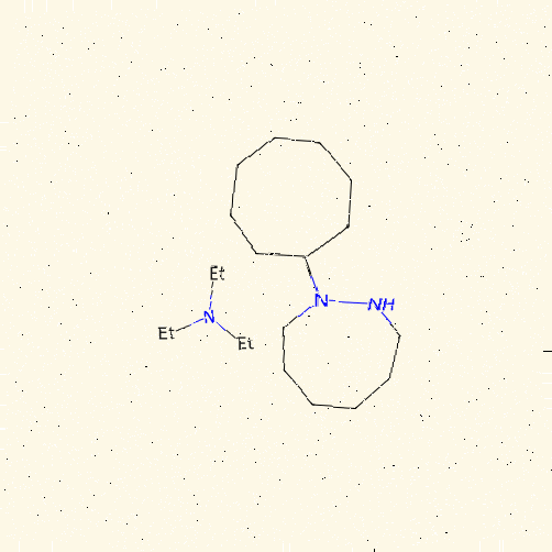 C1CCCC(N2CCCCCCN2)CCC1.CCN(CC)CC